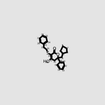 O=C1OC(C[C]2CCCC2)(c2ccccc2)CC(O)=C1SCCc1ccccc1